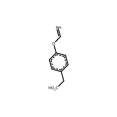 N=COc1ccc(CC(=O)O)cc1